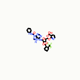 CNc1c(NC(=O)Nc2ccccc2)ncnc1NC1OC(COc2ncccc2C(=O)O)C2OC(c3ccccc3C(F)(F)F)OC12